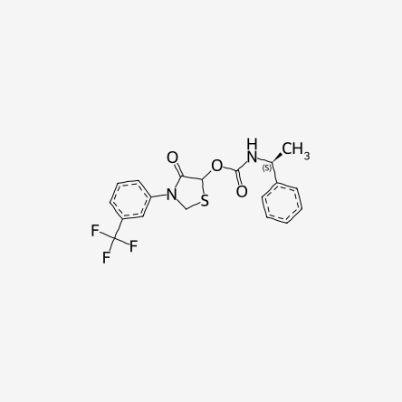 C[C@H](NC(=O)OC1SCN(c2cccc(C(F)(F)F)c2)C1=O)c1ccccc1